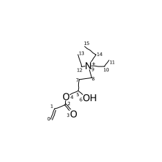 C=CC(=O)OC(O)CC[N+](CC)(CC)CC